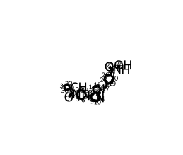 CC1(C(=O)N2CCN(c3ccnc4c3ccn4Cc3ccc(C(=O)NO)cc3)CC2)CCC1